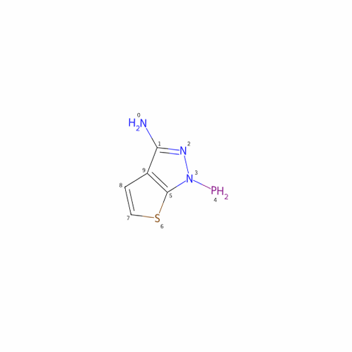 Nc1nn(P)c2sccc12